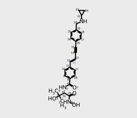 CC(C)(O)[C@H](NC(=O)c1ccc(/C=C/C#Cc2ccc(CNC3CC3)cc2)cc1)C(=O)NO